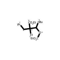 CCCCC(OC(=O)OCC)C(CC)(CC(C)C)C(=O)OCC